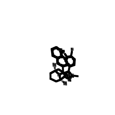 Cn1nc2c(c1-c1ccc(F)c(F)c1)C[C@@H]1CCC[C@H]2N1C(=O)c1ccc2ncccc2c1